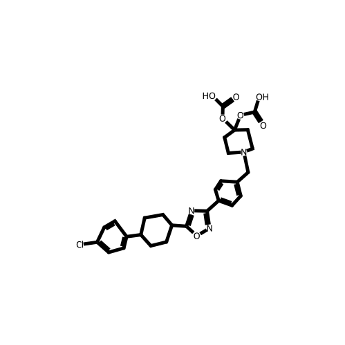 O=C(O)OC1(OC(=O)O)CCN(Cc2ccc(-c3noc(C4CCC(c5ccc(Cl)cc5)CC4)n3)cc2)CC1